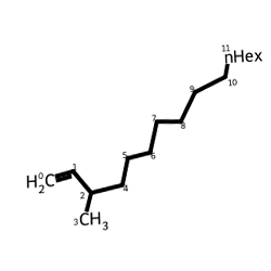 C=CC(C)CCCCCCCCCCCCC